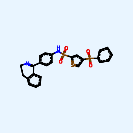 O=S(=O)(Nc1ccc(C2=NCCc3ccccc32)cc1)c1cc(S(=O)(=O)c2ccccc2)cs1